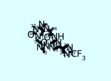 Cc1noc(CN2Cc3c(ncn3[C@@H](C)C(=O)Nc3cncc(-c4cnc(C(F)(F)F)nc4)n3)N(C)C2=O)n1